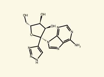 Nc1ncnc2c1ncn2[C@]1(c2c[nH]nn2)O[C@H](CO)[C@@H](O)[C@H]1O